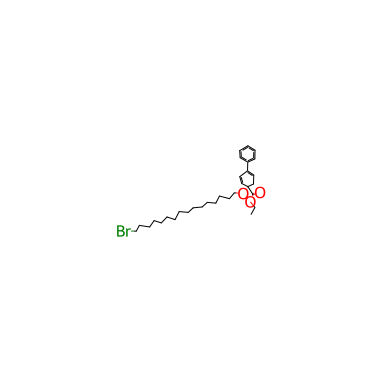 CCOC(=O)C1(OCCCCCCCCCCCCCCCCBr)C=CC(c2ccccc2)=CC1